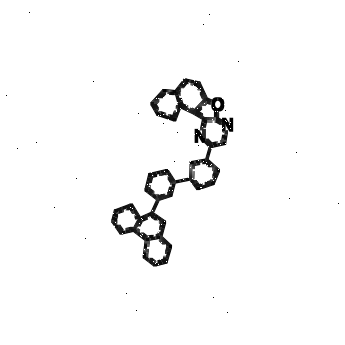 c1cc(-c2cccc(-c3cc4ccccc4c4ccccc34)c2)cc(-c2cnc3oc4ccc5ccccc5c4c3n2)c1